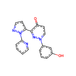 O=c1ccn(-c2cccc(O)c2)nc1-c1ccnn1-c1ccccn1